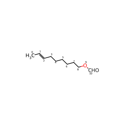 C/C=C/CCCCCCOC=O